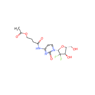 CC(=O)OCCCC(=O)Nc1ccn([C@@H]2O[C@H](CO)[C@@H](O)C2(F)F)c(=O)n1